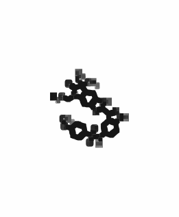 CCN1C(=O)C(C)(C)c2cc3[nH]c(-c4n[nH]c5ccc(NS(=O)(=O)c6ccc(OC)cc6)cc45)nc3cc21